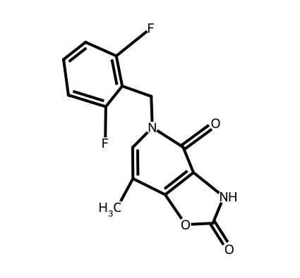 Cc1cn(Cc2c(F)cccc2F)c(=O)c2[nH]c(=O)oc12